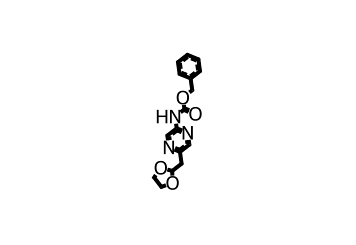 O=C(Nc1cnc(CC2OCCO2)cn1)OCc1ccccc1